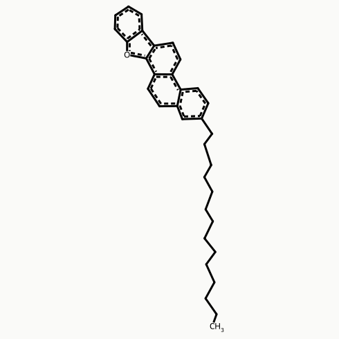 CCCCCCCCCCCCCCc1ccc2c(ccc3c2ccc2c4ccccc4oc23)c1